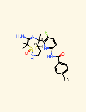 CC1(C)C(N)=N[C@](C)(c2nc(NC(=O)c3ccc(C#N)cc3)ccc2F)[C@@H]2CCN[SH]21=O